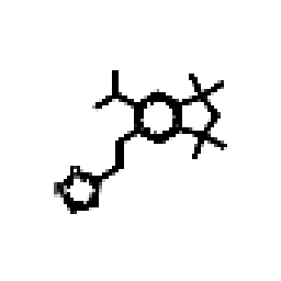 CC(C)c1cc2c(cc1C=Cc1ccno1)C(C)(C)CC2(C)C